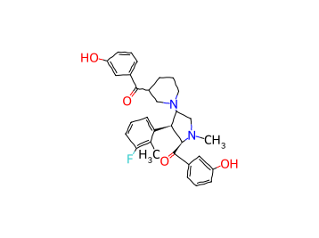 Cc1c(F)cccc1[C@H]1[C@H](N2CCCC(C(=O)c3cccc(O)c3)C2)CN(C)[C@H]1C(=O)c1cccc(O)c1